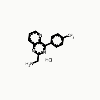 Cl.NCc1nc(-c2ccc(C(F)(F)F)cc2)c2ncccc2n1